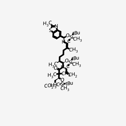 C=CC[C@@H](C(=O)C(C)(C)[C@H](CC(=O)O)O[Si](C)(C)C(C)(C)C)[C@@H](O[Si](C)(C)C(C)(C)C)[C@@H](C)CCC/C(C)=C\C[C@H](O[Si](C)(C)C(C)(C)C)c1ccc2sc(C)nc2c1